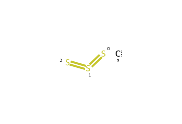 S=S=S.[C]